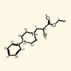 CCOC(=O)C(Br)CN1CCN(c2ccccc2)CC1